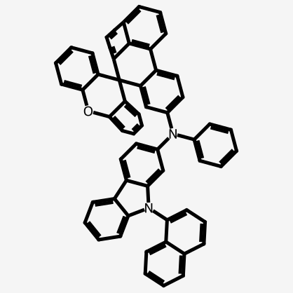 c1ccc(N(c2ccc3c(c2)C2(c4ccccc4Oc4ccccc42)c2cccc4cccc-3c24)c2ccc3c4ccccc4n(-c4cccc5ccccc45)c3c2)cc1